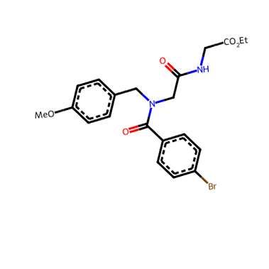 CCOC(=O)CNC(=O)CN(Cc1ccc(OC)cc1)C(=O)c1ccc(Br)cc1